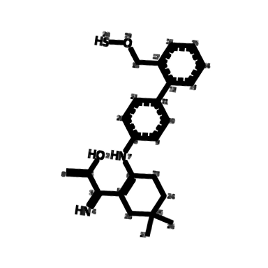 C=C(O)C(=N)C1=C(Nc2ccc(-c3ccccc3COS)cc2)CCC(C)(C)C1